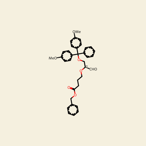 COc1ccc(C(OC[C@@H](C=O)OCCCC(=O)OCc2ccccc2)(c2ccccc2)c2ccc(OC)cc2)cc1